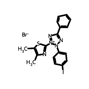 Cc1nc(-[n+]2nc(-c3ccccc3)nn2-c2ccc(I)cc2)sc1C.[Br-]